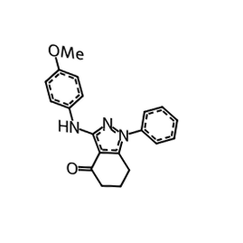 COc1ccc(Nc2nn(-c3ccccc3)c3c2C(=O)CCC3)cc1